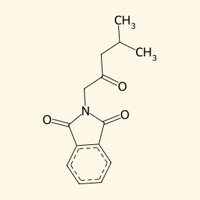 CC(C)CC(=O)CN1C(=O)c2ccccc2C1=O